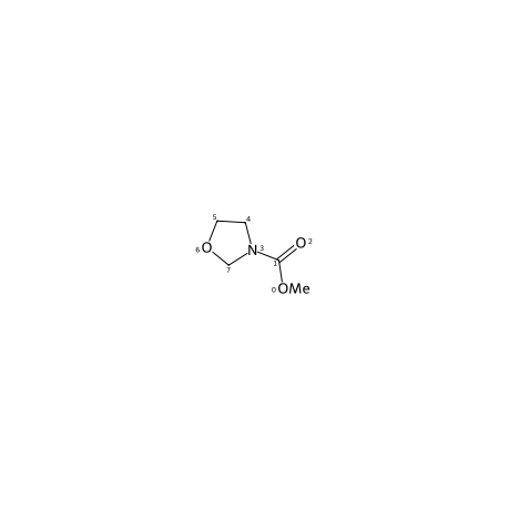 COC(=O)N1CCOC1